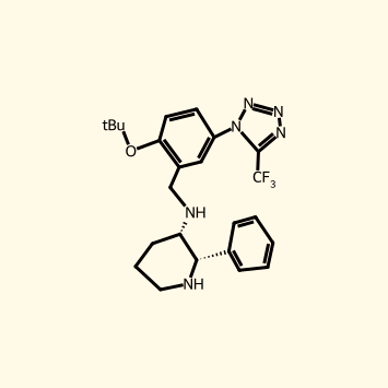 CC(C)(C)Oc1ccc(-n2nnnc2C(F)(F)F)cc1CN[C@H]1CCCN[C@H]1c1ccccc1